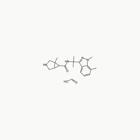 Cc1cccc2c(C(C)(C)NC(=O)C3C4CNCC43C)nn(C)c12.O=CO